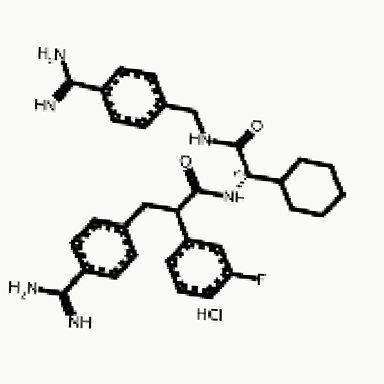 Cl.N=C(N)c1ccc(CNC(=O)[C@@H](NC(=O)C(Cc2ccc(C(=N)N)cc2)c2cccc(F)c2)C2CCCCC2)cc1